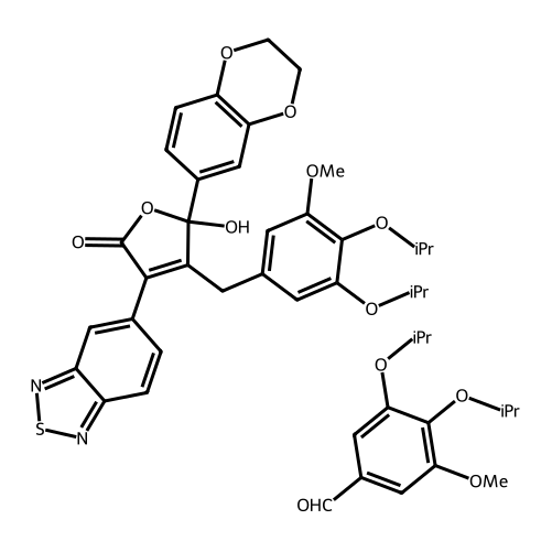 COc1cc(C=O)cc(OC(C)C)c1OC(C)C.COc1cc(CC2=C(c3ccc4nsnc4c3)C(=O)OC2(O)c2ccc3c(c2)OCCO3)cc(OC(C)C)c1OC(C)C